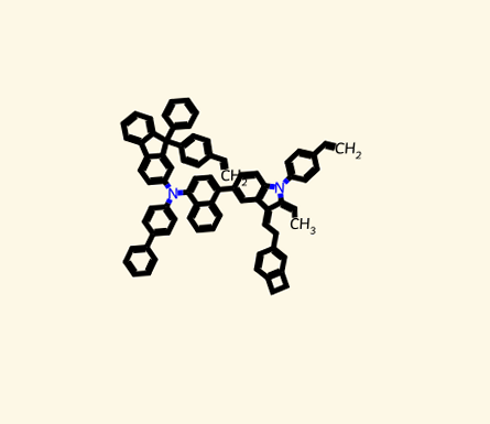 C=Cc1ccc(-n2c(=C/C)/c(=C\Cc3ccc4c(c3)CC4)c3cc(-c4ccc(N(c5ccc(-c6ccccc6)cc5)c5ccc6c(c5)C(c5ccccc5)(c5ccc(C=C)cc5)c5ccccc5-6)c5ccccc45)ccc32)cc1